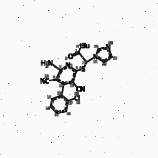 CC(C)(C)C(=O)C(Sc1nc(N)c(C#N)c(-c2ccccc2Cl)c1C#N)n1ccnc1